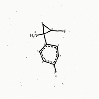 NC1(c2ccc(F)cc2)CC1F